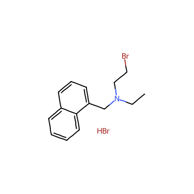 Br.CCN(CCBr)Cc1cccc2ccccc12